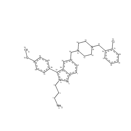 NCCCn1nc2ccc(CN3CCN(Cc4ccccc4Cl)CC3)cc2c1-c1ccc(OC(F)(F)F)cc1